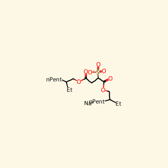 CCCCCC(CC)COC(=O)CC(C(=O)OCC(CC)CCCCC)S(=O)(=O)[O-].[Na+]